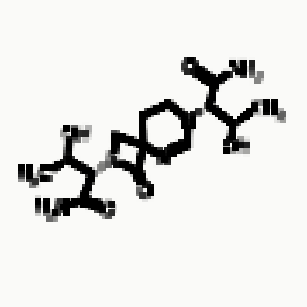 C[C@@H](O)[C@@H](C(N)=O)N1C=NC2(CC1)CN([C@H](C(N)=O)[C@@H](C)O)C2=O